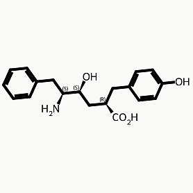 N[C@@H](Cc1ccccc1)[C@@H](O)C[C@@H](Cc1ccc(O)cc1)C(=O)O